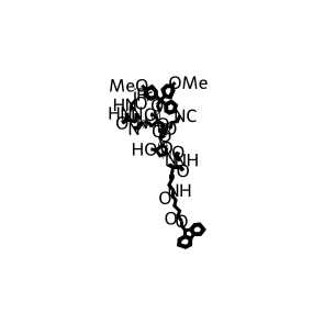 [C-]#[N+]CCOP(=O)(OC[C@H]1O[C@@H](n2cc(C#CCNC(=O)CCCC(=O)OCC3c4ccccc4-c4ccccc43)c(=O)[nH]c2=O)CC1O)OC1C[C@H](n2cnc3c(=O)[nH]c(NC(=O)C(C)C)nc32)O[C@@H]1COC(c1ccccc1)(c1ccc(OC)cc1)c1ccc(OC)cc1